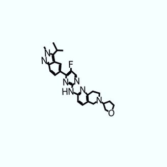 CC(C)c1c2cc(-c3nc(Nc4ccc5c(n4)CCN(C4CCOC4)C5)ncc3F)ccc2nn1C